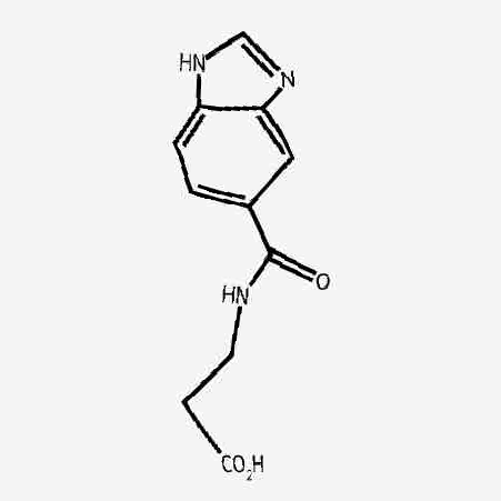 O=C(O)CCNC(=O)c1ccc2[nH]cnc2c1